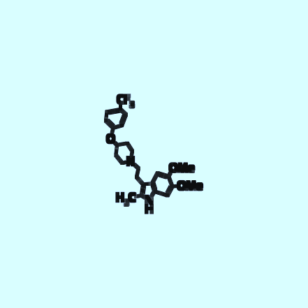 COc1cc2[nH]c(C)c(CCN3CCC(Oc4ccc(C(F)(F)F)cc4)CC3)c2cc1OC